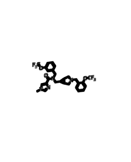 Cn1cnc(C(=O)N(Cc2cccc(OC(F)(F)F)c2)CC2C3CN(Cc4ccccc4OC(F)(F)F)CC32)c1